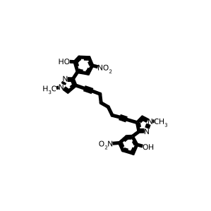 Cn1cc(C#CCCCCC#Cc2cn(C)nc2-c2cc([N+](=O)[O-])ccc2O)c(-c2cc([N+](=O)[O-])ccc2O)n1